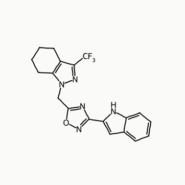 FC(F)(F)c1nn(Cc2nc(-c3cc4ccccc4[nH]3)no2)c2c1CCCC2